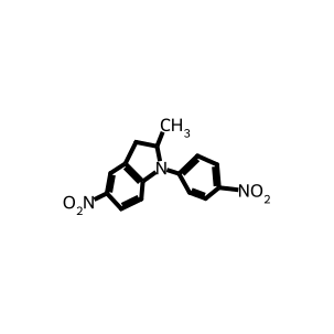 CC1Cc2cc([N+](=O)[O-])ccc2N1c1ccc([N+](=O)[O-])cc1